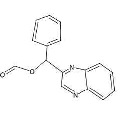 O=COC(c1ccccc1)c1cnc2ccccc2n1